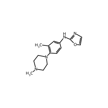 Cc1cc(Nc2ncco2)ccc1N1CCN(C)CC1